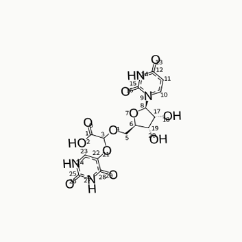 O=C(O)C(OC[C@H]1O[C@@H](n2ccc(=O)[nH]c2=O)[C@H](O)[C@@H]1O)Oc1c[nH]c(=O)[nH]c1=O